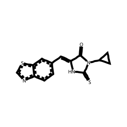 O=C1/C(=C/c2ccc3ncsc3c2)NC(=S)N1C1CC1